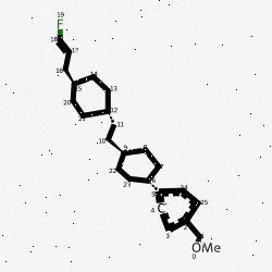 COCc1ccc([C@H]2CC[C@H](CC[C@H]3CC[C@H](CC=CF)CC3)CC2)cc1